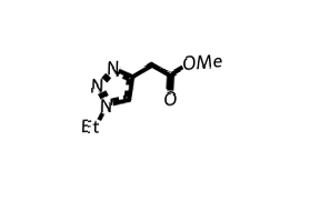 CCn1cc(CC(=O)OC)nn1